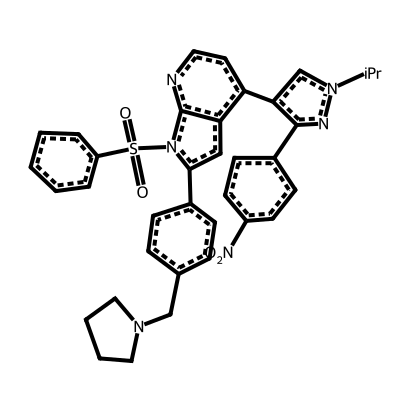 CC(C)n1cc(-c2ccnc3c2cc(-c2ccc(CN4CCCC4)cc2)n3S(=O)(=O)c2ccccc2)c(-c2ccc([N+](=O)[O-])cc2)n1